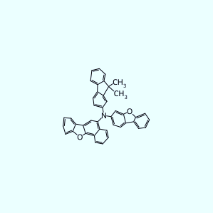 CC1(C)c2ccccc2-c2ccc(N(c3ccc4c(c3)oc3ccccc34)c3cc4c5ccccc5oc4c4ccccc34)cc21